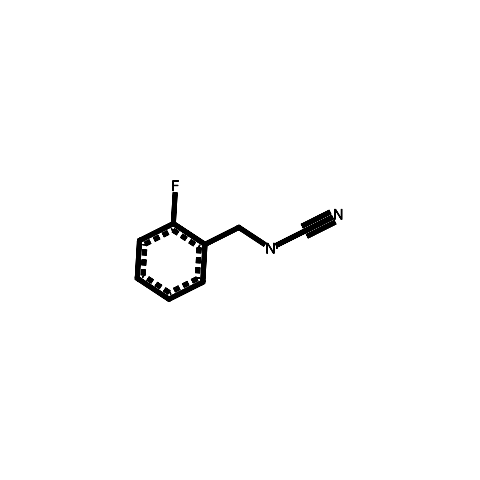 N#C[N]Cc1ccccc1F